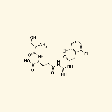 N=C(NC(=O)CC[C@H](NC(=O)[C@H](N)CO)C(=O)O)NC(=O)Cc1c(Cl)cccc1Cl